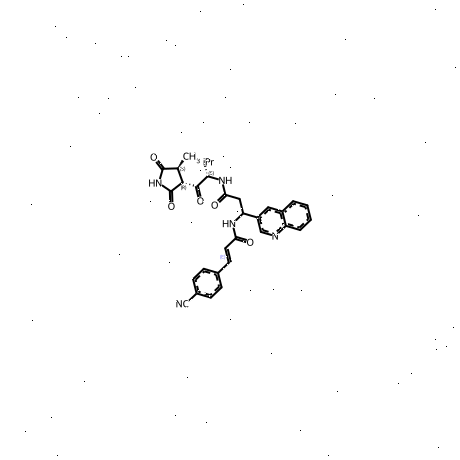 CC(C)[C@H](NC(=O)CC(NC(=O)/C=C/c1ccc(C#N)cc1)c1cnc2ccccc2c1)C(=O)[C@@H]1C(=O)NC(=O)[C@H]1C